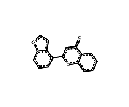 O=c1cc(-c2cccc3occc23)oc2ccccc12